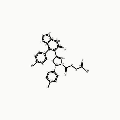 Cc1ccc([C@@H]2CC(c3c(-c4ccc(Cl)cc4)c4scnc4[nH]c3=O)=NN2C(=O)CCC(=O)O)cc1